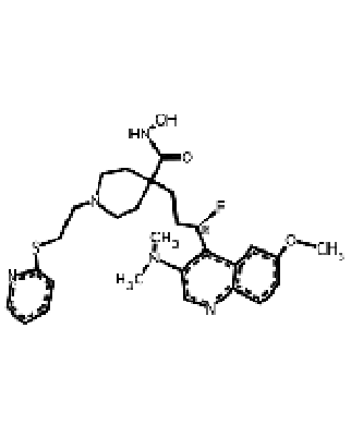 COc1ccc2ncc(N(C)C)c([C@H](F)CCC3(C(=O)NO)CCN(CCSc4ccccn4)CC3)c2c1